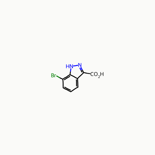 O=C(O)c1n[nH]c2c(Br)cccc12